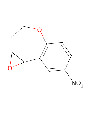 O=[N+]([O-])c1ccc2c(c1)C1OC1CCO2